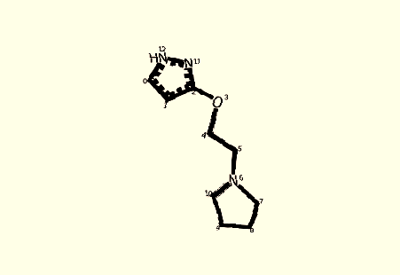 c1cc(OCCN2CCCC2)n[nH]1